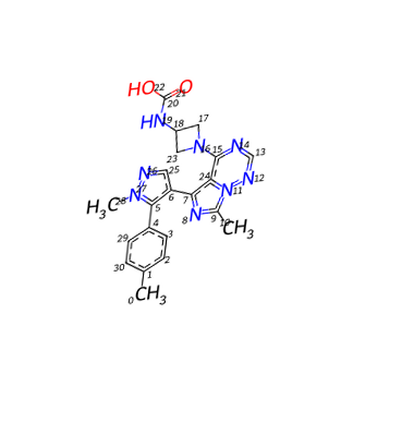 Cc1ccc(-c2c(-c3nc(C)n4ncnc(N5CC(NC(=O)O)C5)c34)cnn2C)cc1